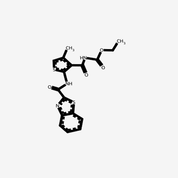 CCOC(=O)NC(=O)c1c(C)csc1NC(=O)c1nc2ccccc2s1